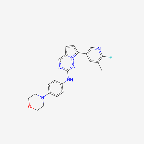 Cc1cc(-c2ccc3cnc(Nc4ccc(N5CCOCC5)cc4)nn23)cnc1F